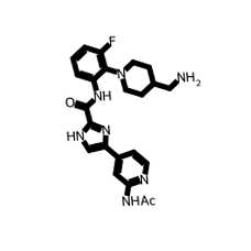 CC(=O)Nc1cc(-c2c[nH]c(C(=O)Nc3cccc(F)c3N3CCC(CN)CC3)n2)ccn1